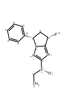 CC[S@@+]([O-])c1nc2n(n1)[C@H](c1ccccc1)C[C@@H]2F